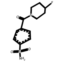 NS(=O)(=O)c1ccc(C(=O)N2CCC(F)CC2)cc1